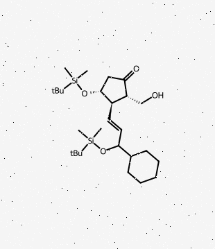 CC(C)(C)[Si](C)(C)OC(C=C[C@H]1[C@H](O[Si](C)(C)C(C)(C)C)CC(=O)[C@@H]1CO)C1CCCCC1